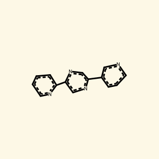 c1ccc(-c2cnc(-c3cccnc3)cn2)nc1